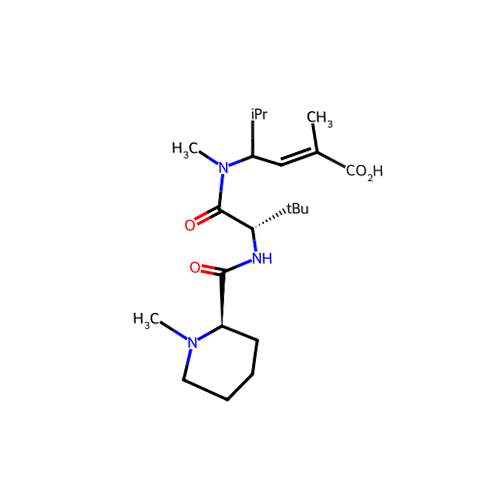 C/C(=C\C(C(C)C)N(C)C(=O)[C@@H](NC(=O)[C@H]1CCCCN1C)C(C)(C)C)C(=O)O